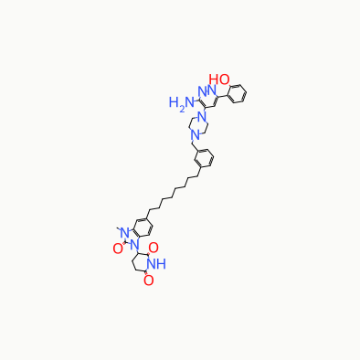 Cn1c(=O)n(C2CCC(=O)NC2=O)c2ccc(CCCCCCCCc3cccc(CN4CCN(c5cc(-c6ccccc6O)nnc5N)CC4)c3)cc21